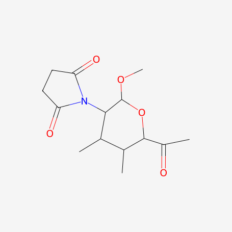 COC1OC(C(C)=O)C(C)C(C)C1N1C(=O)CCC1=O